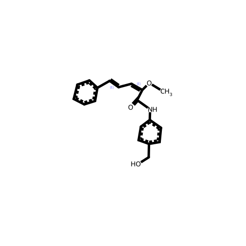 CO/C(=C/C=C/c1ccccc1)C(=O)Nc1ccc(CO)cc1